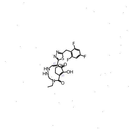 CCN1CNN/C=C(/c2nnc(Cc3c(F)cc(F)cc3F)s2)C(=O)/C(O)=C(\CCO)C1=O